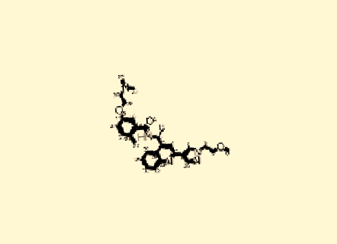 COCCn1cc(-c2cc([C@H](C)NC(=O)c3cc(OCCN(C)C)ccc3C)c3ccccc3n2)cn1